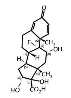 C[C@]12C=CC(=O)C=C1CC[C@H]1[C@@H]3C[C@@H](O)[C@](O)(C(=O)O)[C@@]3(C)C[C@@H](O)[C@@]12F